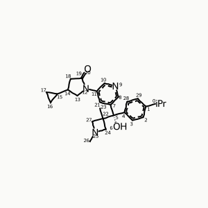 CC(C)c1ccc([C@](O)(c2cncc(N3CC(C4CC4)CC3=O)c2)C2(C)CN(C)C2)cc1